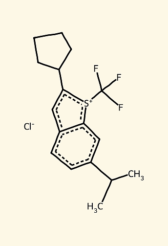 CC(C)c1ccc2cc(C3CCCC3)[s+](C(F)(F)F)c2c1.[Cl-]